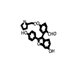 O=Cc1ccc(OCCC2=NCCC2)cc1-c1c(-c2ccc(O)cc2)oc2cc(O)ccc12